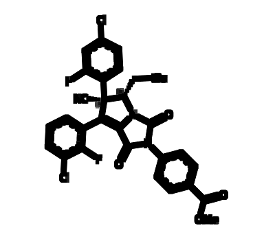 COC(=O)c1ccc(N2C(=O)C3=C(c4cccc(Cl)c4F)[C@@](C#N)(c4ccc(Cl)cc4F)[C@H](CC(C)(C)C)N3C2=O)cc1